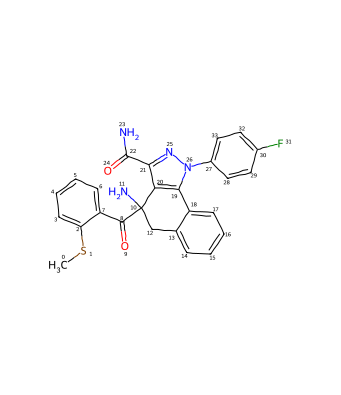 CSc1ccccc1C(=O)C1(N)Cc2ccccc2-c2c1c(C(N)=O)nn2-c1ccc(F)cc1